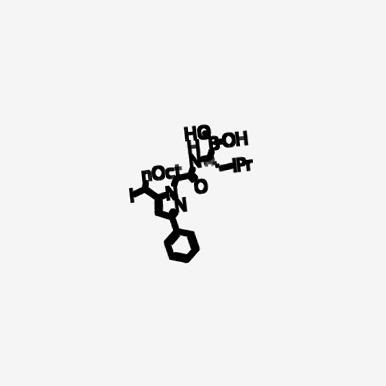 CCCCCCCCC(I)c1cc(-c2ccccc2)nn1CC(=O)N[C@@H](CC(C)C)B(O)O